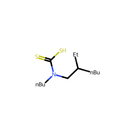 CCCCC(CC)CN(CCCC)C(=S)S